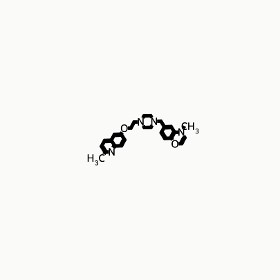 Cc1ccc2cc(OCCN3CCN(Cc4ccc5c(c4)N(C)C=CO5)CC3)ccc2n1